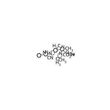 Cc1nc(C)c(C(OC(C)(C)C)C(=O)O)c(N2CCC(C)(C)CC2)c1-c1ccc2c(c1)CCN(c1nnc(-c3ccccc3)cc1C#N)C2